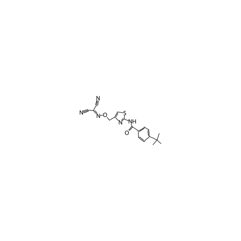 CC(C)(C)c1ccc(C(=O)Nc2nc(CON=C(C#N)C#N)cs2)cc1